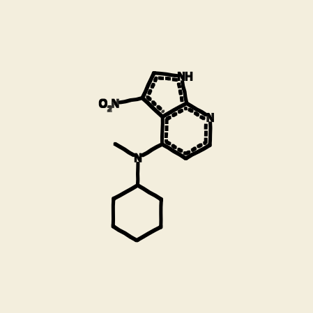 CN(c1ccnc2[nH]cc([N+](=O)[O-])c12)C1CCCCC1